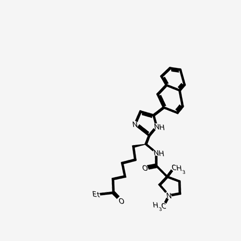 CCC(=O)CCCCC[C@H](NC(=O)C1(C)CCN(C)C1)c1ncc(-c2ccc3ccccc3c2)[nH]1